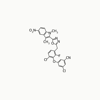 Cc1c(-c2nnc(Cc3ccc(Cl)c(Oc4cc(Cl)cc(C#N)c4)c3F)o2)n(C)c2ccc([N+](=O)[O-])cc12